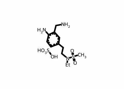 CCN(CCc1ccc(N)c(CN)c1)S(C)(=O)=O.O=S(=O)(O)O